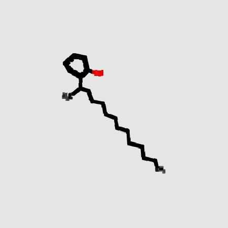 CCCCCCCCCCCCC(C)c1ccccc1O